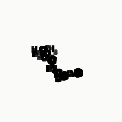 CC(C)(C)OC(=O)N1CCCC(CNC[C@@H]2COc3ccc(OCc4ccccc4)cc3O2)C1